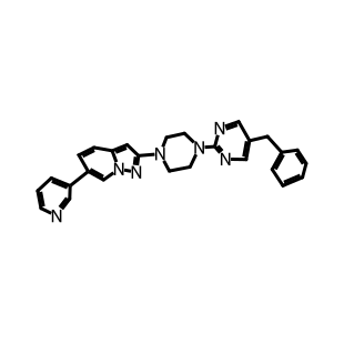 c1ccc(Cc2cnc(N3CCN(c4cc5ccc(-c6cccnc6)cn5n4)CC3)nc2)cc1